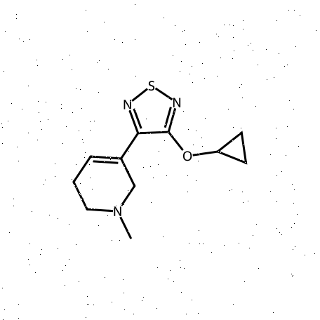 CN1CCC=C(c2nsnc2OC2CC2)C1